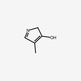 CC1=C(O)CN=C1